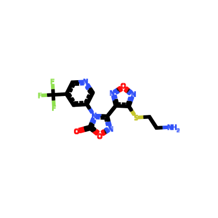 NCCSc1nonc1-c1noc(=O)n1-c1cncc(C(F)(F)F)c1